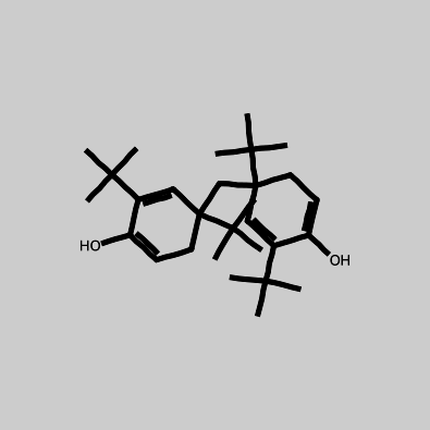 CC(C)(C)C1=CC(CC2(C(C)(C)C)C=C(C(C)(C)C)C(O)=CC2)(C(C)(C)C)CC=C1O